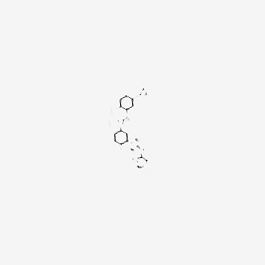 C[C@H](Nc1ccc(F)c(S(=O)(=O)Nc2cscn2)c1)c1cc(C2CC2)ccc1F